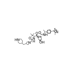 Cc1ncsc1-c1ccc(C(C)NC(=O)[C@@H]2C[C@@H](O)CN2C(=O)C(NC(=O)CN2CC(CC3CCNCC3)C2)C(C)(C)C)cc1